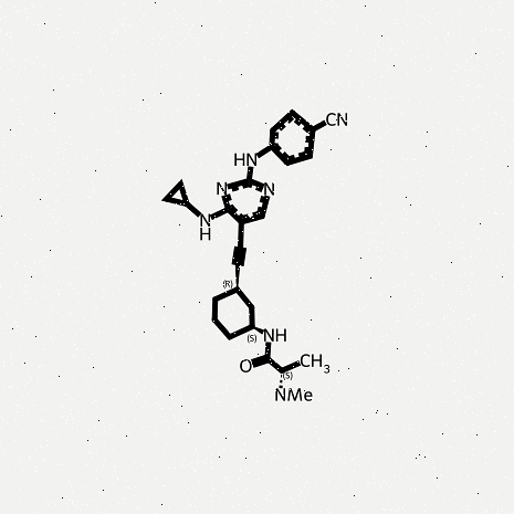 CN[C@@H](C)C(=O)N[C@H]1CCC[C@@H](C#Cc2cnc(Nc3ccc(C#N)cc3)nc2NC2CC2)C1